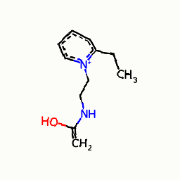 C=C(O)NCC[n+]1ccccc1CC